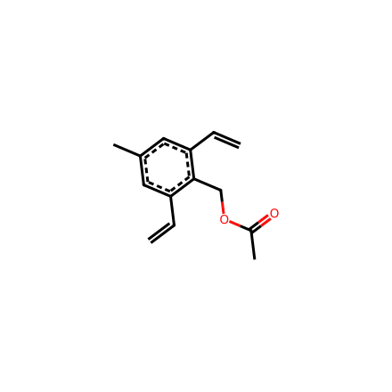 C=Cc1cc(C)cc(C=C)c1COC(C)=O